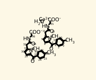 Cc1ccc(C(=O)c2ccc(CC(=O)NCC(=O)[O-])n2C)cc1.Cc1ccc(C(=O)c2ccc(CC(=O)NCC(=O)[O-])n2C)cc1.O.[Ca+2]